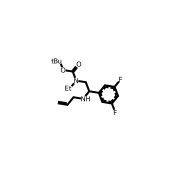 C=CCNC(CN(CC)C(=O)OC(C)(C)C)c1cc(F)cc(F)c1